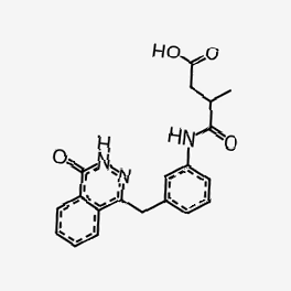 CC(CC(=O)O)C(=O)Nc1cccc(Cc2n[nH]c(=O)c3ccccc23)c1